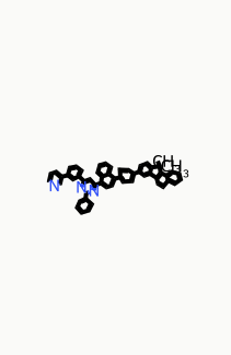 CC1(C)c2ccc(-c3ccc(-c4ccc(-c5cc(-c6cccc(-c7cccnc7)c6)nc(-c6ccccc6)n5)c5ccccc45)cc3)cc2-c2ccc3ccccc3c21